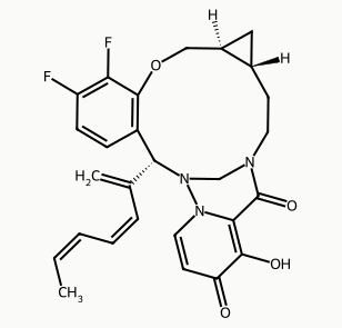 C=C(/C=C\C=C/C)[C@@H]1c2ccc(F)c(F)c2OC[C@H]2C[C@@H]2CCN2CN1n1ccc(=O)c(O)c1C2=O